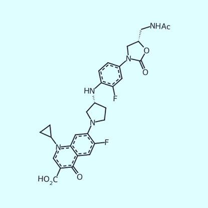 CC(=O)NC[C@H]1CN(c2ccc(N[C@@H]3CCN(c4cc5c(cc4F)c(=O)c(C(=O)O)cn5C4CC4)C3)c(F)c2)C(=O)O1